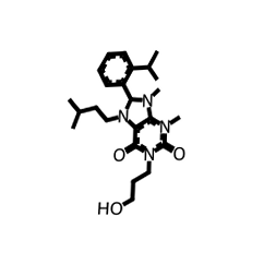 CC(C)CCN1c2c(n(C)c(=O)n(CCCO)c2=O)N(C)C1c1ccccc1C(C)C